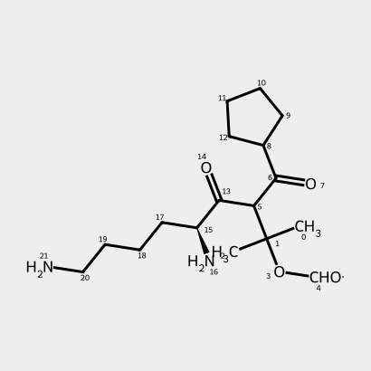 CC(C)(O[C]=O)C(C(=O)C1CCCC1)C(=O)[C@@H](N)CCCCN